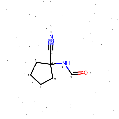 N#CC1(NC=O)CCCC1